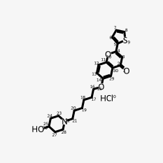 Cl.O=c1cc(-c2cccs2)oc2ccc(OCCCCCCN3CCC(O)CC3)cc12